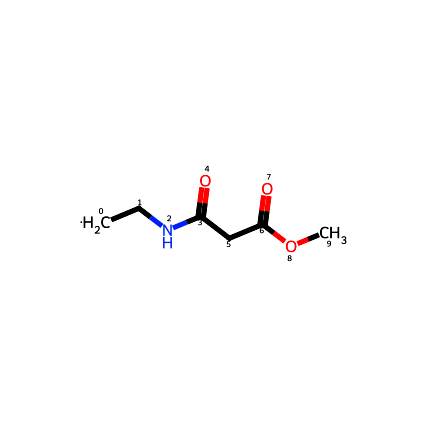 [CH2]CNC(=O)CC(=O)OC